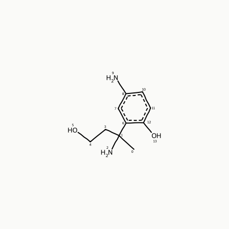 CC(N)(CCO)c1cc(N)ccc1O